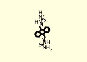 NC(=S)NN=Cc1c2ccccc2c(C=NNC(N)=S)c2ccccc12